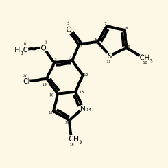 COC1=C(C(=O)c2ccc(C)s2)CC2=NC(C)=[C]C2=C1Cl